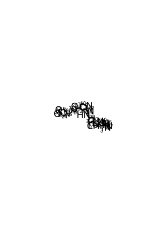 Cc1cc(Nc2ncnc3ccc(-c4cc(CN5CCS(=O)(=O)CC5)co4)cc23)ccc1Oc1cc2nncn2cn1